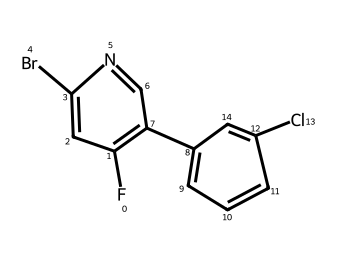 Fc1cc(Br)ncc1-c1cccc(Cl)c1